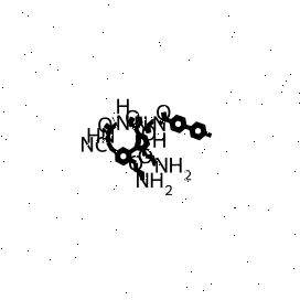 Cc1ccc(-c2ccc(C(=O)NCC(=O)N(C)C3C(=O)N[C@@H](C)C(=O)NC(C#N)Cc4ccc(OCCN)c(c4)-c4cc3ccc4OCCN)cc2)cc1